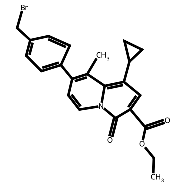 CCOC(=O)c1cc(C2CC2)c2c(C)c(-c3ccc(CBr)cc3)ccn2c1=O